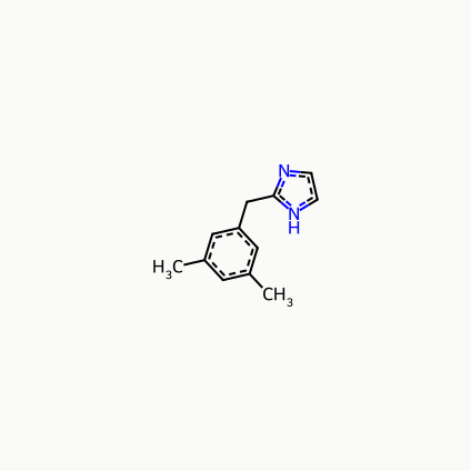 Cc1cc(C)cc(Cc2ncc[nH]2)c1